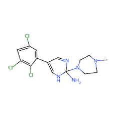 CN1CCN(C2(N)N=CC(c3cc(Cl)cc(Cl)c3Cl)=CN2)CC1